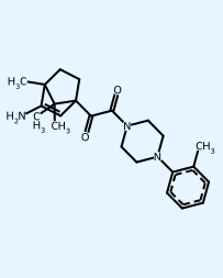 Cc1ccccc1N1CCN(C(=O)C(=O)C23C=C(N)C(C)(CC2)C3(C)C)CC1